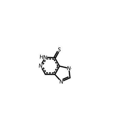 S=c1[nH]ncc2c1[N]C=N2